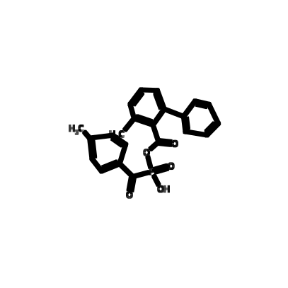 Cc1ccc(C(=O)P(=O)(O)OC(=O)c2c(C)cccc2-c2ccccc2)cc1